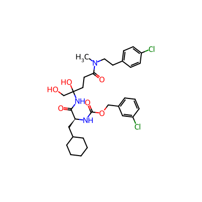 CN(CCc1ccc(Cl)cc1)C(=O)CCC(O)(CO)NC(=O)[C@H](CC1CCCCC1)NC(=O)OCc1cccc(Cl)c1